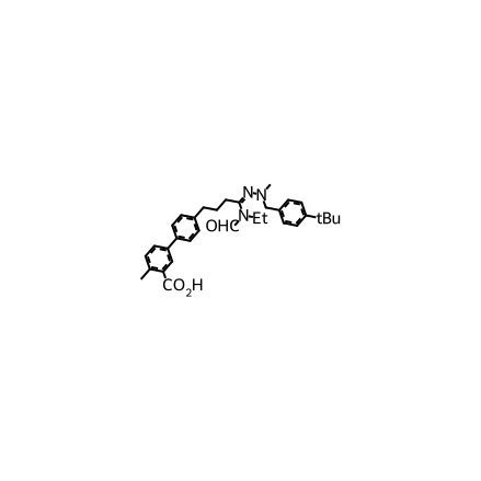 CCN(C=O)/C(CCCc1ccc(-c2ccc(C)c(C(=O)O)c2)cc1)=N\N(C)Cc1ccc(C(C)(C)C)cc1